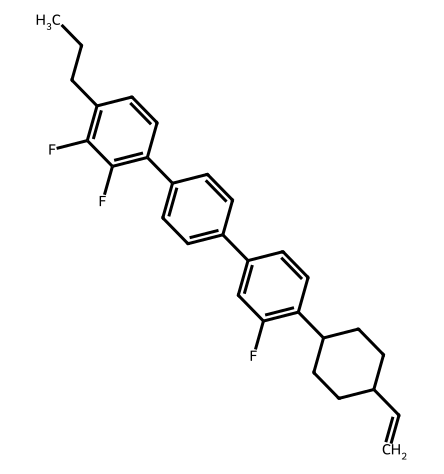 C=CC1CCC(c2ccc(-c3ccc(-c4ccc(CCC)c(F)c4F)cc3)cc2F)CC1